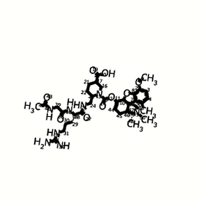 COc1ccc(C)c2c1OC1C(OC(=O)N3CC(C(=O)O)CCC3CNC(=O)[C@H](CCCNC(=N)N)NC(=O)CNC(C)=O)=CCC3[C@@H](C)N(C)CC[C@]213